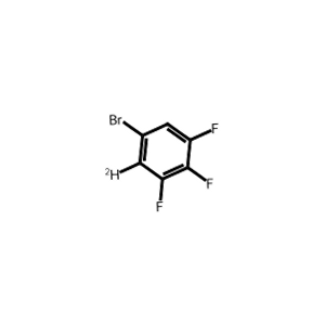 [2H]c1c(Br)cc(F)c(F)c1F